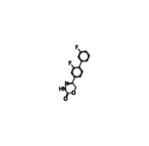 O=C1NN=C(c2ccc(-c3cccc(F)c3)c(F)c2)CO1